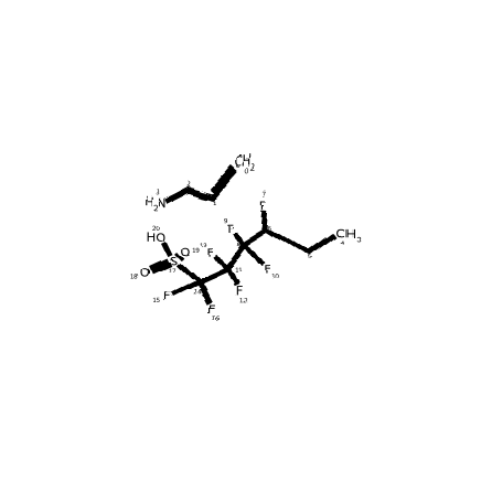 C=CCN.CCC(F)C(F)(F)C(F)(F)C(F)(F)S(=O)(=O)O